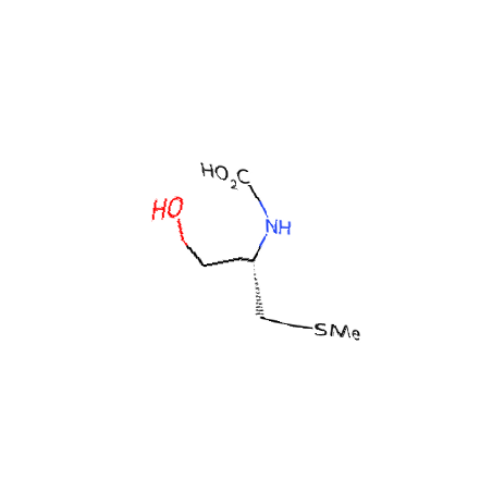 CSC[C@H](CO)NC(=O)O